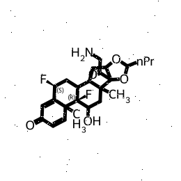 CCCC1OC2CC3C4C[C@H](F)C5=CC(=O)C=CC5(C)[C@@]4(F)C(O)CC3(C)C2(C(=O)CN)O1